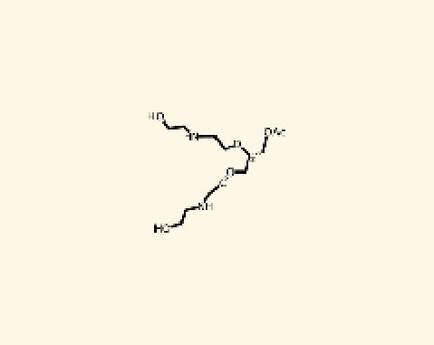 CC(=O)OC[C@H](COCCNCCO)OCCNCCO